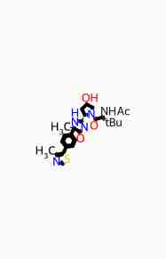 CC(=O)NC(C(=O)N1C[C@H](O)C[C@H]1C1=NC(=O)[C@@](C)(c2ccc(-c3scnc3C)cc2)N1)C(C)(C)C